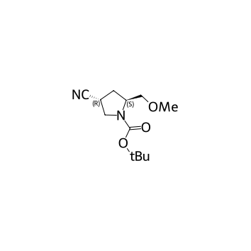 COC[C@@H]1C[C@@H](C#N)CN1C(=O)OC(C)(C)C